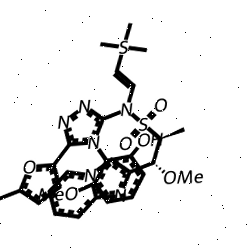 COc1cccc(O)c1-n1c(-c2ccc(C)o2)nnc1N(/C=C/S(C)(C)C)S(=O)(=O)[C@@H](C)[C@H](OC)c1cn2ccccc2n1